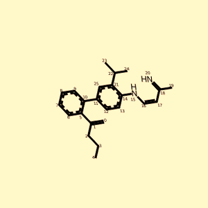 C=C(CCC)c1ccccc1-c1ccc(N/C=C\C(C)=N)c(C(C)C)c1